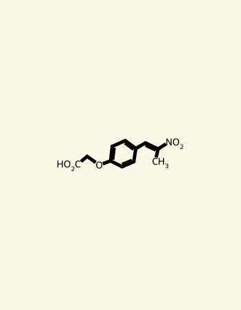 C/C(=C\c1ccc(OCC(=O)O)cc1)[N+](=O)[O-]